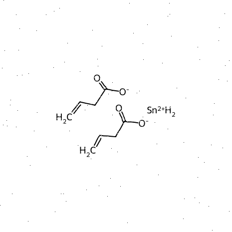 C=CCC(=O)[O-].C=CCC(=O)[O-].[SnH2+2]